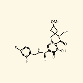 COC1CC2(C1)Cn1cc(C(=O)NCc3ccc(F)cc3F)c(=O)c(O)c1C(=O)N2C(C)C